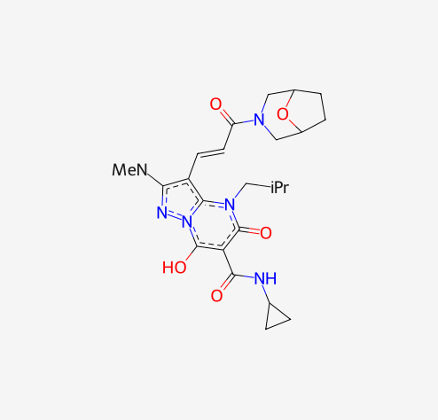 CNc1nn2c(O)c(C(=O)NC3CC3)c(=O)n(CC(C)C)c2c1C=CC(=O)N1CC2CCC(C1)O2